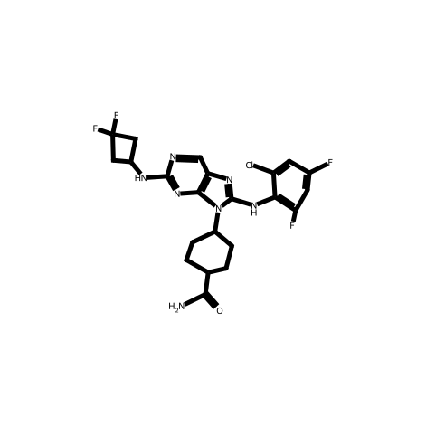 NC(=O)C1CCC(n2c(Nc3c(F)cc(F)cc3Cl)nc3cnc(NC4CC(F)(F)C4)nc32)CC1